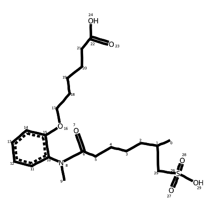 CC(CCCCC(=O)N(C)c1ccccc1OCCCCCC(=O)O)CS(=O)(=O)O